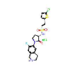 Cl.O=C1[C@@H](NS(=O)(=O)/C=C/c2ccc(Cl)s2)CCN1c1cc2c(cc1F)CNCC2